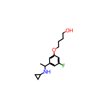 CC(NC1CC1)c1cc(F)cc(OCCCCO)c1